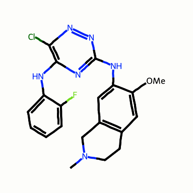 COc1cc2c(cc1Nc1nnc(Cl)c(Nc3ccccc3F)n1)CN(C)CC2